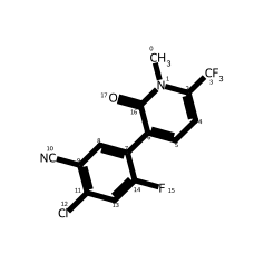 Cn1c(C(F)(F)F)ccc(-c2cc(C#N)c(Cl)cc2F)c1=O